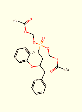 CC(C)(C)C(=O)OCOP(=O)(OCOC(=O)C(C)(C)C)[C@H](CC(Cc1ccccc1)Oc1ccccc1)S(=O)(=O)O